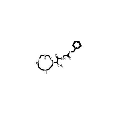 CC(C(=O)NCC(=O)OCc1ccccc1)N1CCNCCNCCNCC1